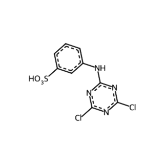 O=S(=O)(O)c1cccc(Nc2nc(Cl)nc(Cl)n2)c1